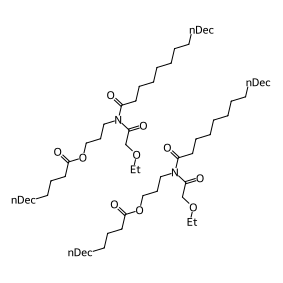 CCCCCCCCCCCCCCCCCC(=O)N(CCCOC(=O)CCCCCCCCCCCCC)C(=O)COCC.CCCCCCCCCCCCCCCCCC(=O)N(CCCOC(=O)CCCCCCCCCCCCC)C(=O)COCC